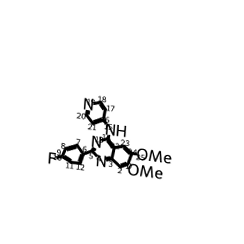 COc1cc2nc(-c3ccc(F)cc3)nc(Nc3ccncc3)c2cc1OC